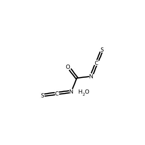 O.O=C(N=C=S)N=C=S